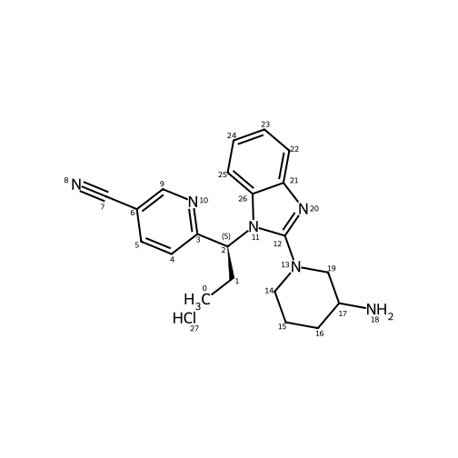 CC[C@@H](c1ccc(C#N)cn1)n1c(N2CCCC(N)C2)nc2ccccc21.Cl